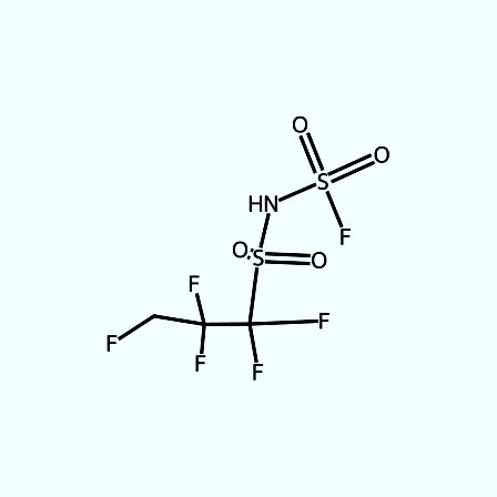 O=S(=O)(F)NS(=O)(=O)C(F)(F)C(F)(F)CF